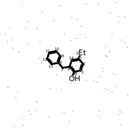 CCc1ccc(O)c([CH]c2ccccc2)c1